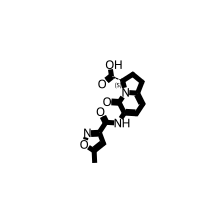 Cc1cc(C(=O)Nc2ccc3n(c2=O)[C@H](C(=O)O)CC3)no1